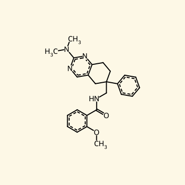 COc1ccccc1C(=O)NCC1(c2ccccc2)CCc2nc(N(C)C)ncc2C1